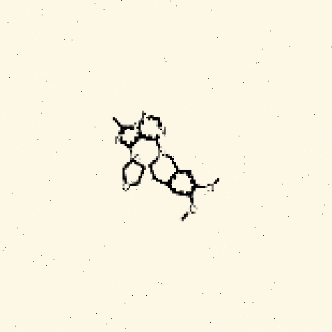 COc1cc2c(cc1OC)CN(c1ncnn3c(C)nc([C@@H]4CCOC4)c13)CC2